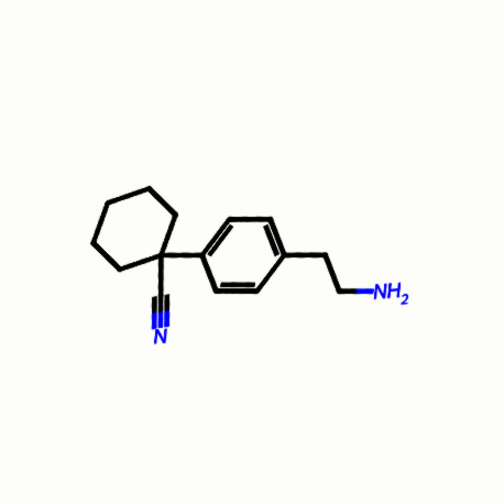 N#CC1(c2ccc(CCN)cc2)CCCCC1